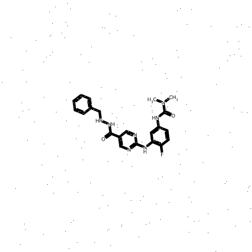 CN(C)C(=O)Nc1ccc(F)c(Nc2ncc(C(=O)NNCc3ccccc3)cn2)c1